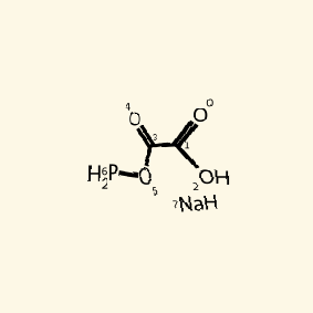 O=C(O)C(=O)OP.[NaH]